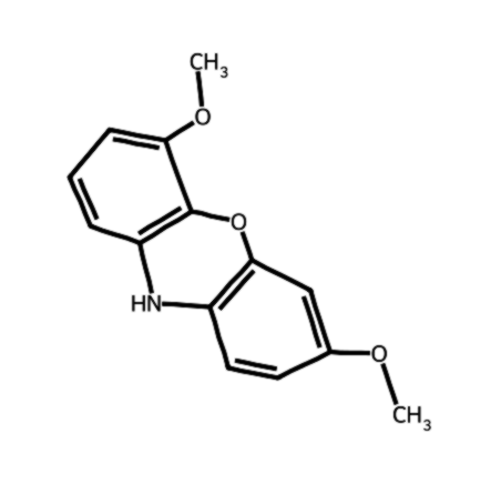 COc1ccc2c(c1)Oc1c(cccc1OC)N2